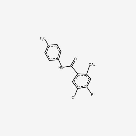 CC(=O)Oc1cc(F)c(Cl)cc1C(=O)Nc1ccc(C(F)(F)F)cc1